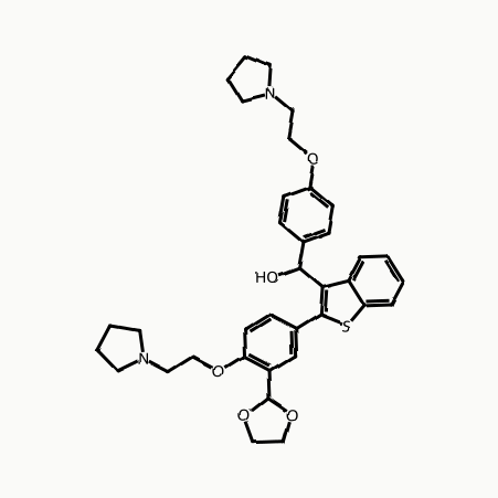 OC(c1ccc(OCCN2CCCC2)cc1)c1c(-c2ccc(OCCN3CCCC3)c(C3OCCO3)c2)sc2ccccc12